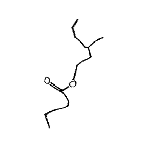 CCCC(=O)OCCC(C)CC